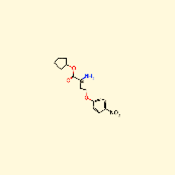 N[C@@H](CCOc1ccc([N+](=O)[O-])cc1)C(=O)OC1CCCC1